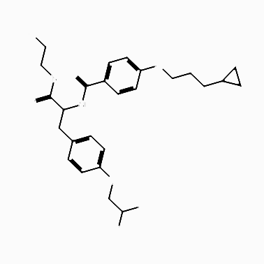 O=C(NC(Cc1ccc(OCC(F)F)cc1)C(=O)NCCO)c1ccc(OCCCC2CC2)cc1